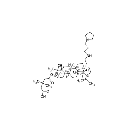 C=C(C)[C@@H]1CC[C@]2(CCNCCCN3CCCC3)CC[C@]3(C)[C@H](CC[C@@H]4[C@@]5(C)CC[C@H](OC(=O)CC(C)(C)CC(=O)O)C(C)(C)[C@@H]5CC[C@]43C)[C@@H]12